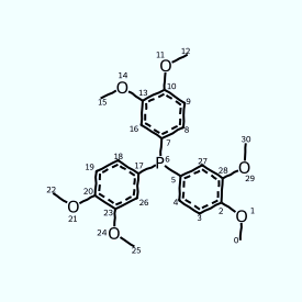 COc1ccc(P(c2ccc(OC)c(OC)c2)c2ccc(OC)c(OC)c2)cc1OC